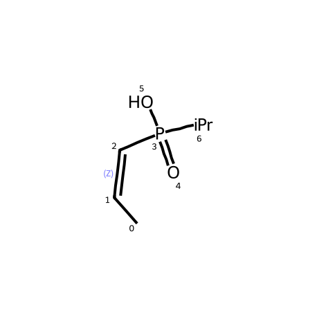 C/C=C\P(=O)(O)C(C)C